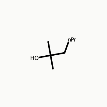 C[CH]CCC(C)(C)O